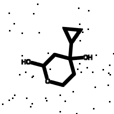 OC1CC(O)(C2CC2)CCO1